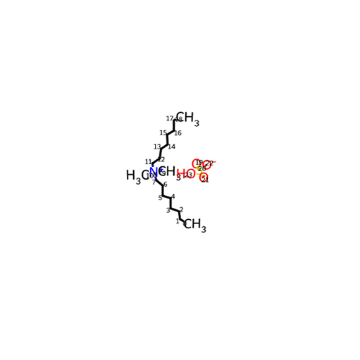 CCCCCCCC[N+](C)(C)CCCCCCCC.O=S(=O)([O-])O